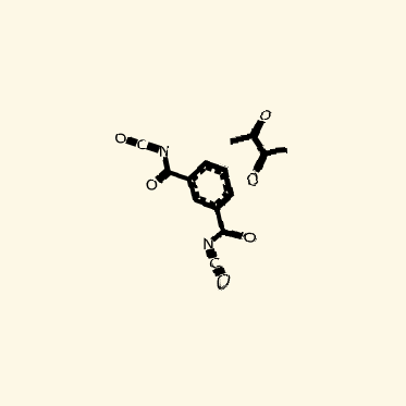 CC(=O)C(C)=O.O=C=NC(=O)c1cccc(C(=O)N=C=O)c1